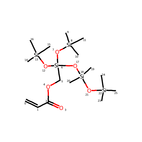 C=CC(=O)OC[Si](O[Si](C)(C)C)(O[Si](C)(C)C)O[Si](C)(C)O[Si](C)(C)C